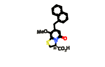 COc1c(Cc2cccc3ccccc23)cc(=O)n2c1SC[C@H]2C(=O)O